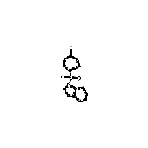 O=S(=O)(c1ccc(F)cc1)n1ccc2[c]cccc21